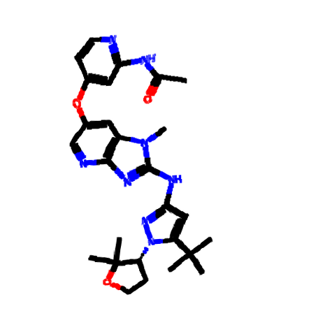 CC(=O)Nc1cc(Oc2cnc3nc(Nc4cc(C(C)(C)C)n([C@@H]5CCOC5(C)C)n4)n(C)c3c2)ccn1